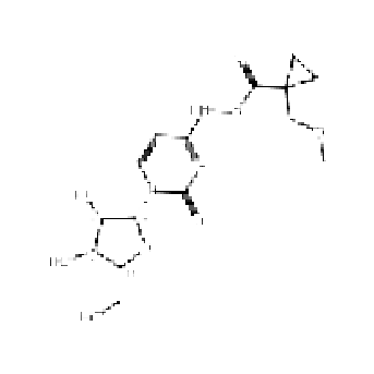 COCC1(C(=O)ONc2ccn([C@@H]3O[C@H](CO)[C@@H](O)[C@H]3O)c(=O)n2)CC1